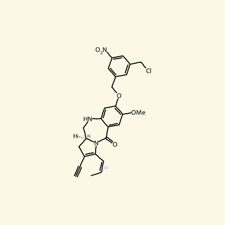 C#CC1=C(/C=C\C)N2C(=O)c3cc(OC)c(OCc4cc(CCl)cc([N+](=O)[O-])c4)cc3NC[C@@H]2C1